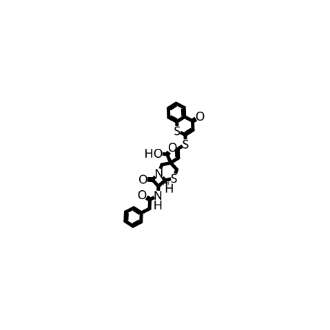 O=C(Cc1ccccc1)NC1C(=O)N2CC(C=CSc3cc(=O)c4ccccc4s3)(C(=O)O)CS[C@H]12